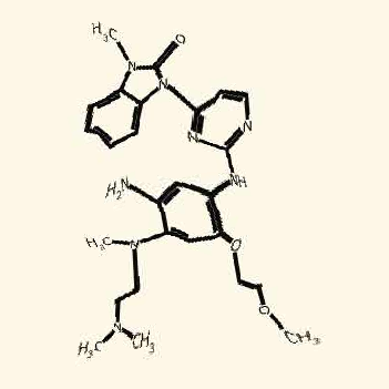 COCCOc1cc(N(C)CCN(C)C)c(N)cc1Nc1nccc(-n2c(=O)n(C)c3ccccc32)n1